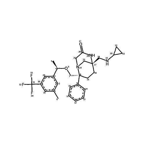 Cc1cc([C@@H](C)OC[C@@]2(c3ccccc3)CC[C@]3(CNC4CC4)CN2CC(=O)N3)cc(C(F)(F)F)c1